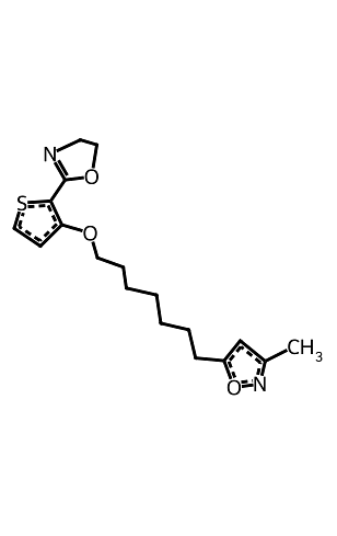 Cc1cc(CCCCCCCOc2ccsc2C2=NCCO2)on1